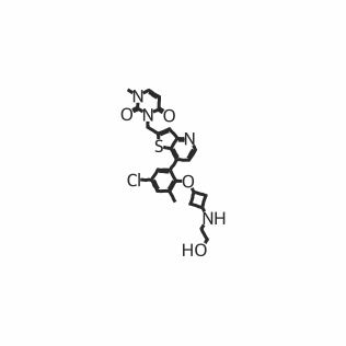 Cc1cc(Cl)cc(-c2ccnc3cc(Cn4c(=O)ccn(C)c4=O)sc23)c1OC1CC(NCCO)C1